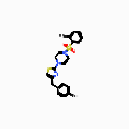 CCCc1ccc(Cc2csc(N3CCN(S(=O)(=O)c4ccccc4C(F)(F)F)CC3)n2)cc1